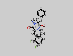 CCC1(Cc2ccccc2)C(=O)N(C)C(=Cc2c(C#N)ccc(F)c2F)C(=O)N1C